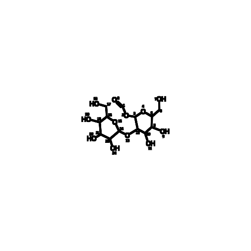 O=COC1OC(CO)C(O)C(O)C1OC1OC(CO)C(O)C(O)C1O